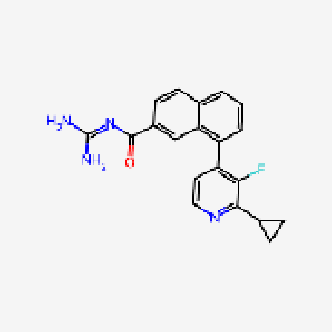 NC(N)=NC(=O)c1ccc2cccc(-c3ccnc(C4CC4)c3F)c2c1